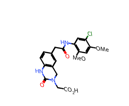 COc1cc(OC)c(NC(=O)Cc2ccc3c(c2)CN(CC(=O)O)C(=O)N3)cc1Cl